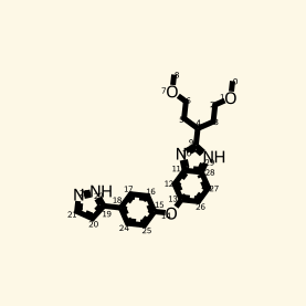 COCCC(CCOC)c1nc2cc(Oc3ccc(-c4ccn[nH]4)cc3)ccc2[nH]1